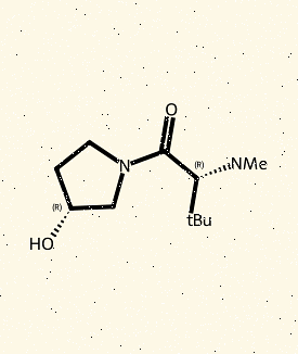 CN[C@@H](C(=O)N1CC[C@@H](O)C1)C(C)(C)C